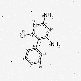 Nc1nc(N)c(-c2cccnc2)c(Cl)n1